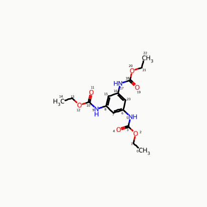 CCOC(=O)Nc1cc(NC(=O)OCC)cc(NC(=O)OCC)c1